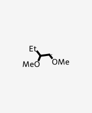 CCC([CH]OC)OC